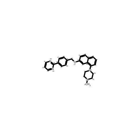 CN1CCN(c2cccc3ccc(OCc4ccc(-c5ncccn5)cc4)cc23)CC1